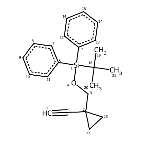 C#CC1(CO[Si](c2ccccc2)(c2ccccc2)C(C)(C)C)CC1